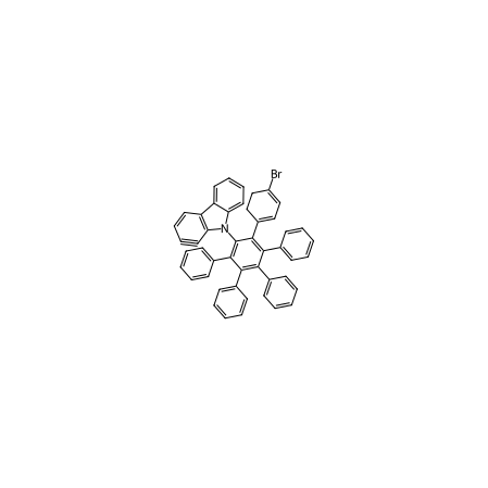 BrC1=CC=C(c2c(-c3ccccc3)c(-c3ccccc3)c(-c3ccccc3)c(-c3ccccc3)c2-n2c3c#cccc3c3ccccc32)CC1